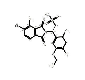 CCOC1=C(O)CC(C)C([C@@H](CS(C)(=O)=O)N2C(=O)c3ccc(O)c(N)c3C2=O)=C1